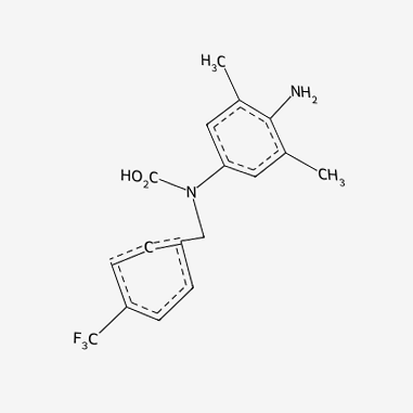 Cc1cc(N(Cc2ccc(C(F)(F)F)cc2)C(=O)O)cc(C)c1N